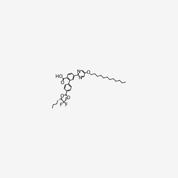 CCCCCCCCCCCCOc1cnc(-c2ccc(C(=O)O)c(-c3ccc(C(=O)O[C@@H](CCCC)C(F)(F)F)cc3)c2)nc1